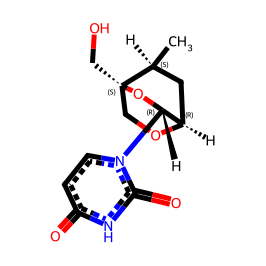 C[C@H]1C[C@H]2OC[C@]1(CO)O[C@H]2n1ccc(=O)[nH]c1=O